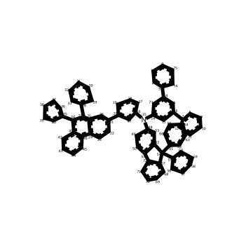 c1ccc(-c2cc(-c3ccccc3)cc(N(c3cccc(-c4ccc5c(c4)c(-c4ccccc4)c(-c4ccccc4)c4ccccc45)c3)c3ccc4c(c3)C(c3ccccc3)(c3ccccc3)c3ccccc3-4)c2)cc1